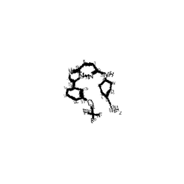 NC1CCC(Nc2ccc3ncc(-c4cccc(OC(F)(F)F)c4)n3n2)CC1